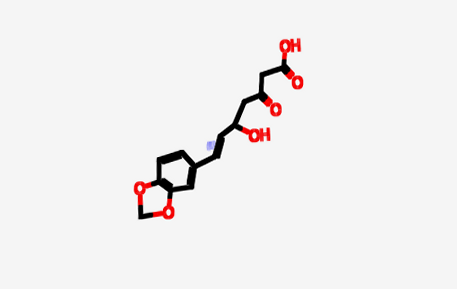 O=C(O)CC(=O)CC(O)/C=C/c1ccc2c(c1)OCO2